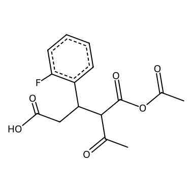 CC(=O)OC(=O)C(C(C)=O)C(CC(=O)O)c1ccccc1F